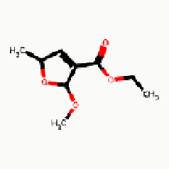 CCOC(=O)C1=CC(C)OC1OC